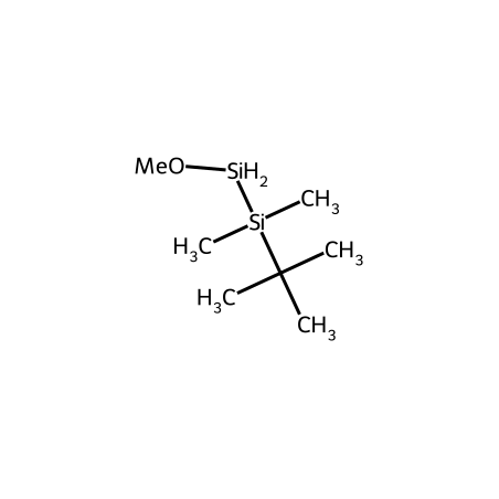 CO[SiH2][Si](C)(C)C(C)(C)C